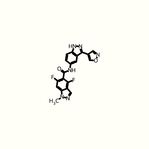 Cn1ncc2c(F)c(C(=O)Nc3ccc4[nH]nc(-c5cnoc5)c4c3)c(F)cc21